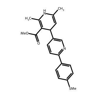 COC(=O)C1=C(C)NC(C)=CC1c1ccc(-c2ccc(SC)cc2)nc1